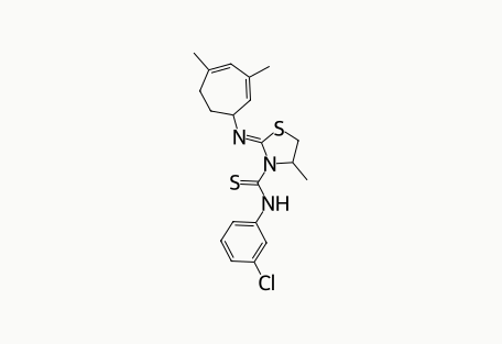 CC1=CC(N=C2SCC(C)N2C(=S)Nc2cccc(Cl)c2)CCC(C)=C1